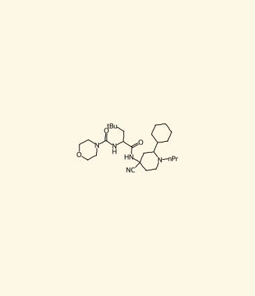 CCCN1CCC(C#N)(NC(=O)C(CC(C)(C)C)NC(=O)N2CCOCC2)CC1C1CCCCC1